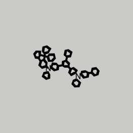 c1ccc(-c2ccc(N(c3ccccc3)c3ccc(-c4cc(-c5ccccc5)cc(-c5ccc(N(c6ccccc6)c6ccc7c(c6)C(c6ccccc6)(c6ccccc6)c6ccccc6-7)cc5)c4)cc3)cc2)cc1